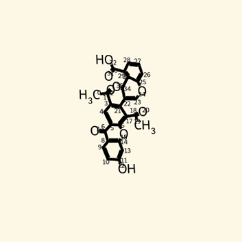 CC(=O)c1cc2c(=O)c3ccc(O)cc3oc2c(C(C)=O)c1-c1coc2cccc(C(=O)O)c2c1=O